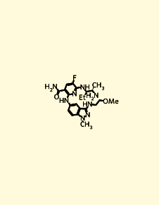 CC[C@@H](Nc1nc(Nc2ccc3c(c2)c(NCCOC)nn3C)c(C(N)=O)cc1F)[C@H](C)N